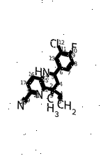 C=CC1(C)CC(c2ccc(F)c(Cl)c2)Nc2ccc(C#N)nc21